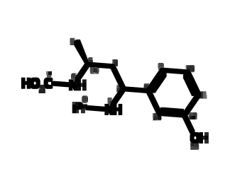 CC(C)NC(C[C@H](C)NC(=O)O)c1cccc(O)c1